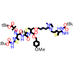 COc1ccc(COC(=O)C2=C(COC/C=C/C=C3\N(C)C=CN3Cc3cc(C(=N)NC(=O)OC(C)(C)C)cs3)CS[C@@H]3[C@H](NC(=O)/C(=N\OC(C)(C)C(=O)OC(C)(C)C)c4csc(NC(=O)OC(C)(C)C)n4)C(=O)N23)cc1